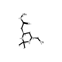 CCCCOC(=O)C[C@H]1C[C@@H](CC#N)OC(C)(C)O1